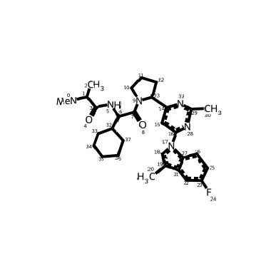 CNC(C)C(=O)NC(C(=O)N1CCCC1c1cc(-n2cc(C)c3cc(F)ccc32)nc(C)n1)C1CCCCC1